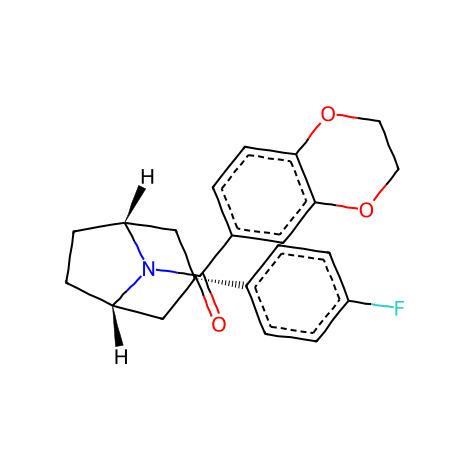 O=C(c1ccc2c(c1)OCCO2)N1[C@@H]2CC[C@H]1C[C@@H](c1ccc(F)cc1)C2